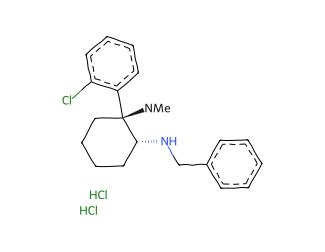 CN[C@]1(c2ccccc2Cl)CCCC[C@H]1NCc1ccccc1.Cl.Cl